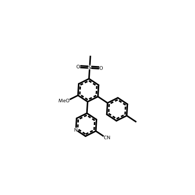 COc1cc(S(C)(=O)=O)cc(-c2ccc(C)cc2)c1-c1cncc(C#N)c1